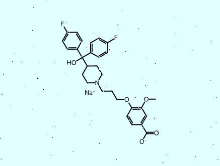 COc1cc(C(=O)[O-])ccc1OCCCN1CCC(C(O)(c2ccc(F)cc2)c2ccc(F)cc2)CC1.[Na+]